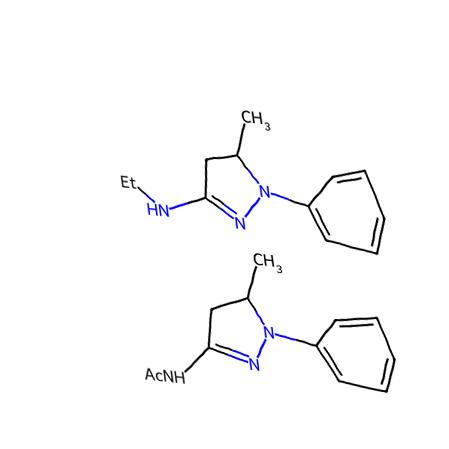 CC(=O)NC1=NN(c2ccccc2)C(C)C1.CCNC1=NN(c2ccccc2)C(C)C1